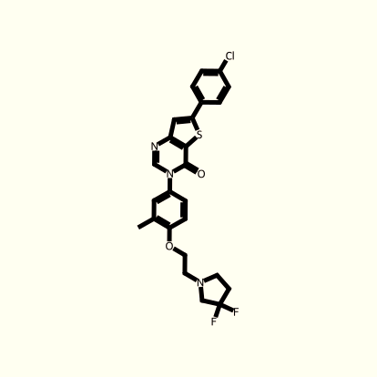 Cc1cc(-n2cnc3cc(-c4ccc(Cl)cc4)sc3c2=O)ccc1OCCN1CCC(F)(F)C1